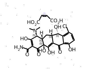 CN(C)[C@@H]1C(O)=C(C(N)=O)C(=O)[C@@]2(O)C(O)=C3C(=O)c4c(O)ccc(Cl)c4[C@@H](O)[C@H]3C[C@@H]12.O=C(O)/C=C\C(=O)O